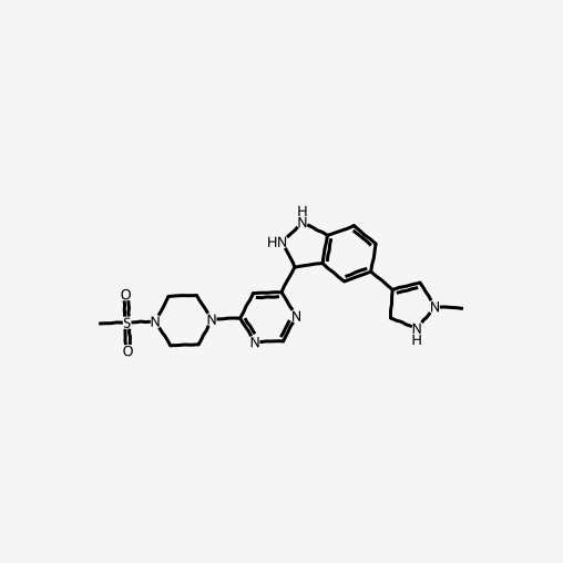 CN1C=C(c2ccc3c(c2)C(c2cc(N4CCN(S(C)(=O)=O)CC4)ncn2)NN3)CN1